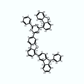 c1ccc(-c2nc(-c3ccc4c(c3)oc3c(-c5ccc6c(c5)c5ccccc5n6-c5ccccc5)cccc34)nc(-c3cccc4oc5ccccc5c34)n2)cc1